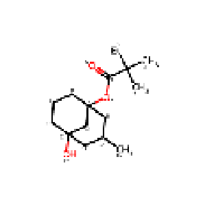 CCC(C)(C)C(=O)OC12CCCC(O)(CC(C)C1)C2